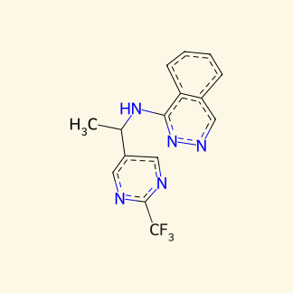 CC(Nc1nncc2ccccc12)c1cnc(C(F)(F)F)nc1